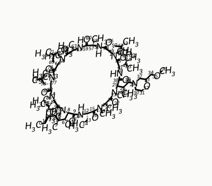 C/C=C/C[C@@H](C)[C@@H](O)[C@H]1C(=O)N[C@@H](CC)C(=O)N(C)[C@H](C)C(=O)N(C)C([C@@H](C)CN2CCOC(COC)C2)C(=O)N[C@@H](C(C)C)C(=O)N(C)[C@@H](CC(C)C)C(=O)N[C@@H](C)C(=O)N[C@H](C)C(=O)N(C)[C@@H](CC(C)C)C(=O)N(C)[C@@H](CC(C)C)C(=O)N(C)[C@@H](C(C)C)C(=O)N1C